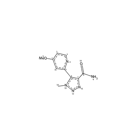 COc1ccnc(-c2c(C(N)=O)nnn2C)c1